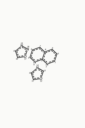 c1cnc2ncccc2c1.c1cocn1.c1conn1